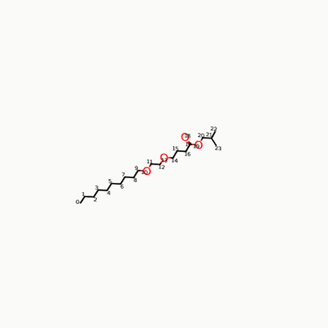 CCCCCCCCCCOCCOCCCC(=O)OCC(C)C